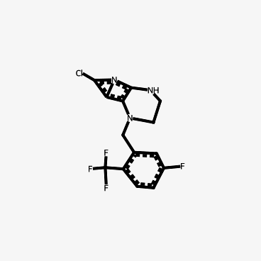 Fc1ccc(C(F)(F)F)c(CN2CCNc3c2c2c(Cl)n3-2)c1